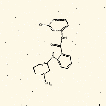 CN1CCCC(Nc2ncccc2C(=O)Nc2cccc(Cl)c2)C1